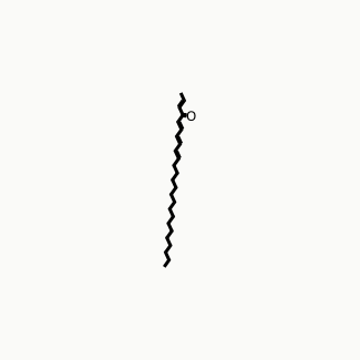 C/C=C/C(=O)/C=C/C=C/C=C/CCCCCCCCCCCCCCC